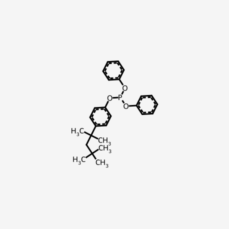 CC(C)(C)CC(C)(C)c1ccc(OP(Oc2ccccc2)Oc2ccccc2)cc1